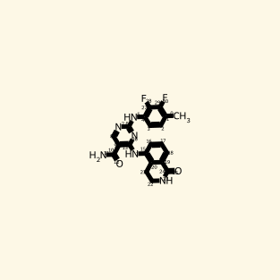 Cc1ccc(Nc2ncc(C(N)=O)c(Nc3cccc4c3CCNC4=O)n2)c(F)c1F